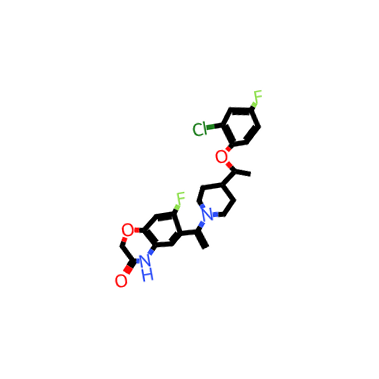 C=C(c1cc2c(cc1F)OCC(=O)N2)N1CCC(C(C)Oc2ccc(F)cc2Cl)CC1